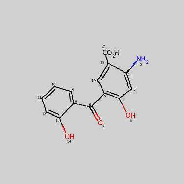 Nc1cc(O)c(C(=O)c2ccccc2O)cc1C(=O)O